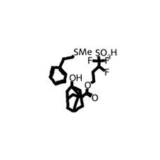 CSCCc1ccccc1.O=C(OCCC(F)C(F)(F)S(=O)(=O)O)C12CC3CC(CC(O)(C3)C1)C2